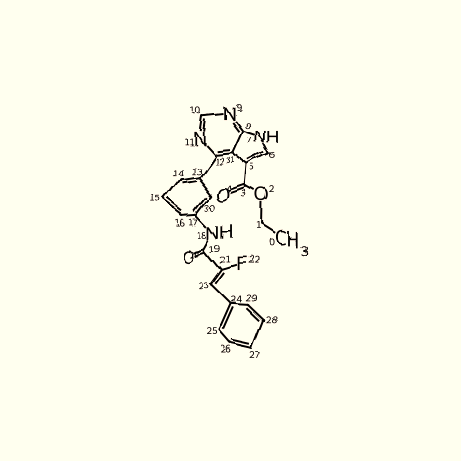 CCOC(=O)c1c[nH]c2ncnc(-c3cccc(NC(=O)C(F)=Cc4ccccc4)c3)c12